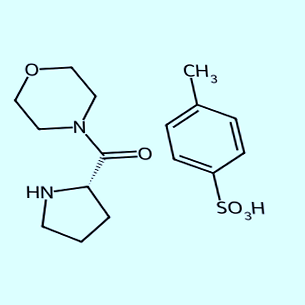 Cc1ccc(S(=O)(=O)O)cc1.O=C([C@@H]1CCCN1)N1CCOCC1